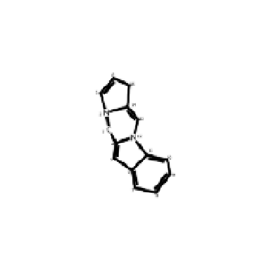 C1=CN2Cc3cc4ccccc4n3C=C2C1